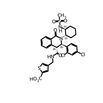 CS(=O)(=O)N[C@H]1CCCC[C@@H]1N1C(=O)c2ccccc2[C@@H](C(=O)NCc2csc(C(=O)O)c2)[C@@H]1c1ccc(Cl)cc1Cl